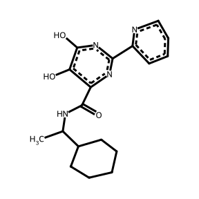 CC(NC(=O)c1nc(-c2ccccn2)nc(O)c1O)C1CCCCC1